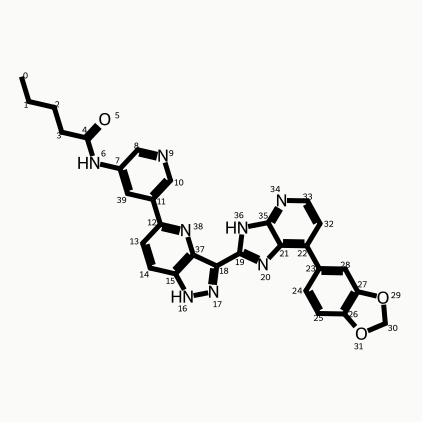 CCCCC(=O)Nc1cncc(-c2ccc3[nH]nc(-c4nc5c(-c6ccc7c(c6)OCO7)ccnc5[nH]4)c3n2)c1